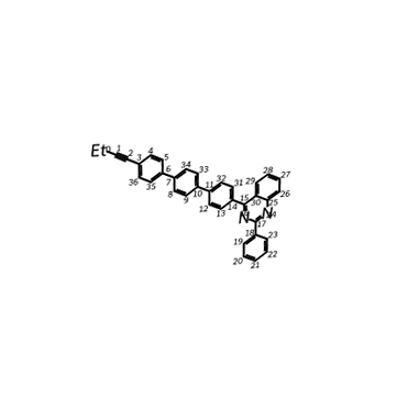 CCC#Cc1ccc(-c2ccc(-c3ccc(-c4nc(-c5ccccc5)nc5ccccc45)cc3)cc2)cc1